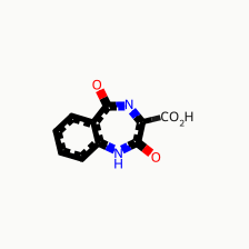 O=C(O)c1nc(=O)c2ccccc2[nH]c1=O